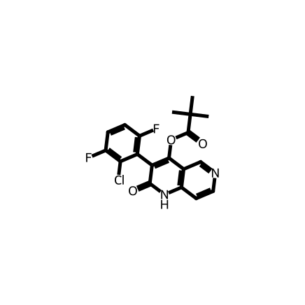 CC(C)(C)C(=O)Oc1c(-c2c(F)ccc(F)c2Cl)c(=O)[nH]c2ccncc12